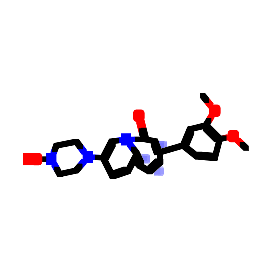 COc1ccc(C2=C\C(=O)N3C=C(N4CCN(O)CC4)C=C\C3=C/C=C/2)cc1OC